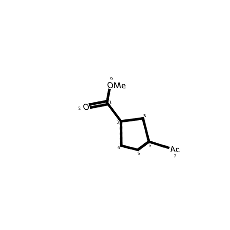 COC(=O)C1CCC(C(C)=O)C1